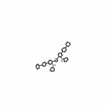 c1ccc(Nc2cc(-c3ccc(-c4ccccc4)cc3)ccc2-c2ccc(-c3ccc(-c4ccc(-c5ccccc5)cc4)cc3Nc3ccccc3)s2)cc1